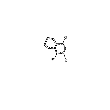 Oc1c(Cl)cc(Cl)c2ccccc12